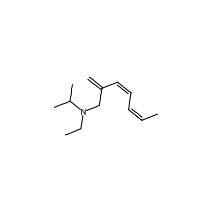 C=C(/C=C\C=C/C)CN(CC)C(C)C